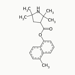 Cc1cccc2c(OC(=O)C3CC(C)(C)NC3(C)C)cccc12